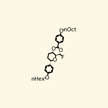 CCCCCCCCOc1ccc(C(=O)O[C@H]2CC[C@@H](c3ccc(OCCCCCC)cc3)O[C@@H]2CF)cc1